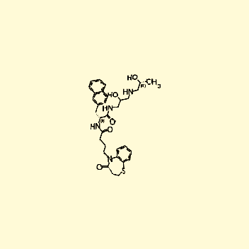 C[C@@H](O)CNCC(O)CNC(=O)[C@@H](Cc1ccc2ccccc2c1)NC(=O)CCCN1C(=O)CCSc2ccccc21